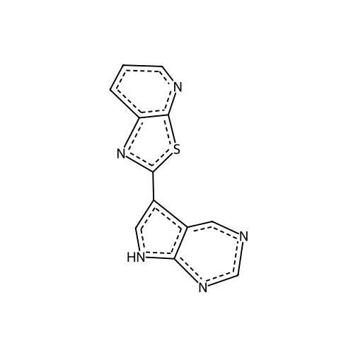 c1cnc2sc(-c3c[nH]c4ncncc34)nc2c1